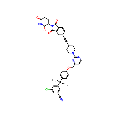 CC(C)(c1ccc(OCc2ccnc(N3CCC(C#Cc4ccc5c(c4)C(=O)N(C4CCC(=O)NC4=O)C5=O)CC3)n2)cc1)c1cc(Cl)cc(C#N)c1